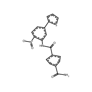 NC(=O)c1ccc(C(=O)Nc2cc(-c3cccs3)ccc2[N+](=O)[O-])cc1